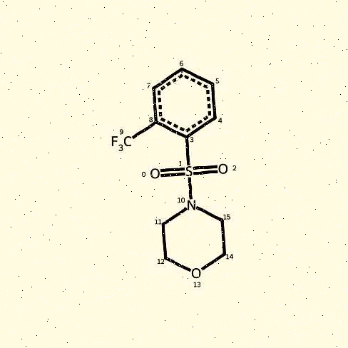 O=S(=O)(c1cc[c]cc1C(F)(F)F)N1CCOCC1